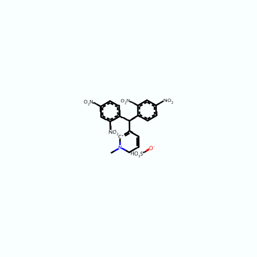 CN1[C+]=C(C(c2ccc([N+](=O)[O-])cc2[N+](=O)[O-])c2ccc([N+](=O)[O-])cc2[N+](=O)[O-])C=CC1.O=S(=O)([O-])O